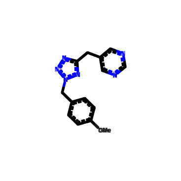 COc1ccc(Cn2nnc(Cc3cncnc3)n2)cc1